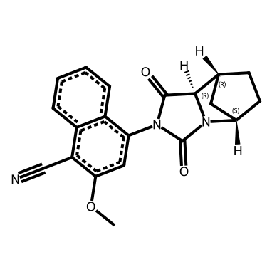 COc1cc(N2C(=O)[C@H]3[C@@H]4CC[C@@H](C4)N3C2=O)c2ccccc2c1C#N